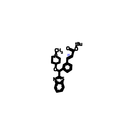 CN1CCC(OC(c2cccc(/C=C/C(=O)OC(C)(C)C)c2)c2nc3ccccc3s2)CC1